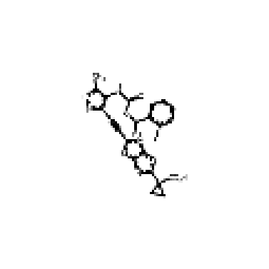 Cc1onc(C#Cc2nc3sc(C4(C(=O)O)CC4)nc3s2)c1NC(=O)OC(C)c1ccccc1Cl